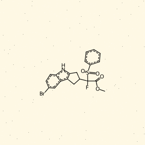 COC(=O)C(F)(C1Cc2[nH]c3ccc(Br)cc3c2C1)S(=O)(=O)c1ccccc1